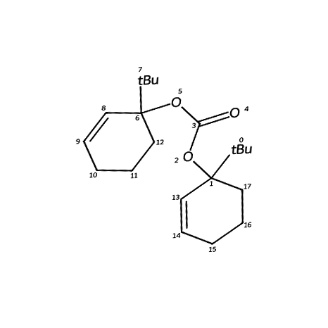 CC(C)(C)C1(OC(=O)OC2(C(C)(C)C)C=CCCC2)C=CCCC1